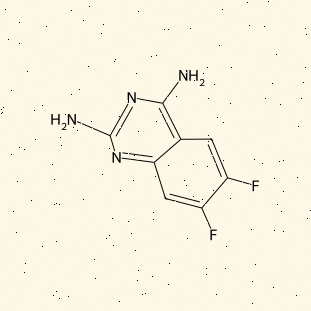 Nc1nc(N)c2cc(F)c(F)cc2n1